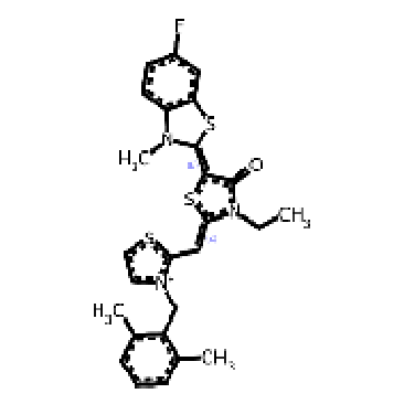 CCn1c(=O)/c(=C2\Sc3cc(F)ccc3N2C)s/c1=C\c1scc[n+]1Cc1c(C)cccc1C